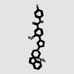 Cc1cc(C(=O)Nc2ccc(F)cc2)ccc1C1CCC(N2CCC3(C=Cc4ccccc43)[C@@H](C)C2)C1